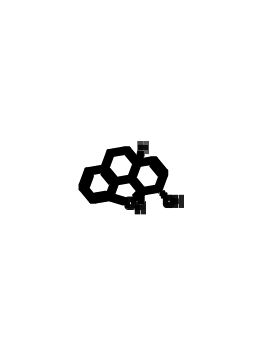 O[C@H]1C=C[C@H]2CCc3cccc4c3C2[C@H]1O4